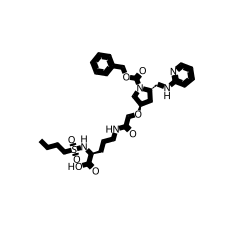 CCCCS(=O)(=O)N[C@@H](CCCNC(=O)CO[C@@H]1C[C@@H](CNc2ccccn2)N(C(=O)OCc2ccccc2)C1)C(=O)O